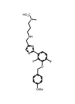 COc1ccc(COc2c(F)ccc(-c3ncc(CNCCCN(C)C(=O)O)s3)c2F)cc1